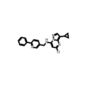 Clc1cc(NCc2ccc(-c3ccccc3)nc2)n2ncc(C3CC3)c2n1